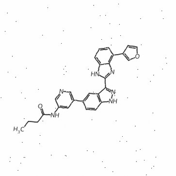 CCCC(=O)Nc1cncc(-c2ccc3[nH]nc(-c4nc5c(-c6ccoc6)cccc5[nH]4)c3c2)c1